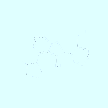 Nn1c(-c2ccccc2CO)cc2cccc(C3CCCC3Cl)c21